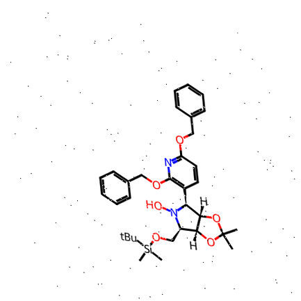 CC1(C)O[C@@H]2[C@H](O1)[C@@H](CO[Si](C)(C)C(C)(C)C)N(O)[C@H]2c1ccc(OCc2ccccc2)nc1OCc1ccccc1